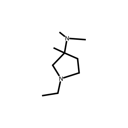 CCN1CCC(C)(N(C)C)C1